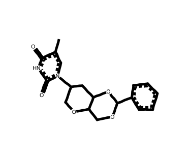 Cc1cn(C2COC3COC(c4ccccc4)OC3C2)c(=O)[nH]c1=O